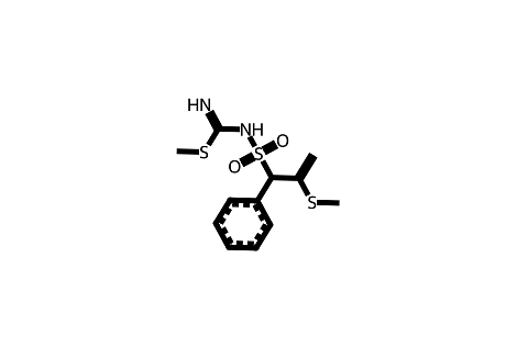 C=C(SC)C(c1ccccc1)S(=O)(=O)NC(=N)SC